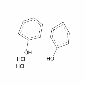 Cl.Cl.Oc1ccccc1.Oc1ccccc1